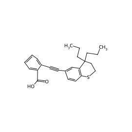 CCCC1(CCC)CCSc2ccc(C#Cc3ccccc3C(=O)O)cc21